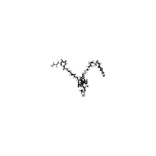 CCCCC/C=C\C/C=C\CCCCCCCCC1(CCCCCCCC/C=C\C/C=C\CCCCC)O[C@H]2CC(CN(C)C)CC[C@H]2O1